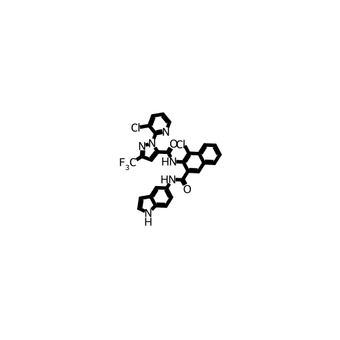 O=C(Nc1ccc2[nH]ccc2c1)c1cc2ccccc2c(Cl)c1NC(=O)c1cc(C(F)(F)F)nn1-c1ncccc1Cl